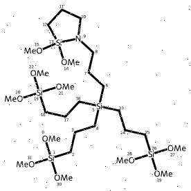 CO[Si](CCC[Si](CCCN1CCC[Si]1(OC)OC)(CCC[Si](OC)(OC)OC)CCC[Si](OC)(OC)OC)(OC)OC